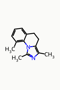 Cc1cccc2c1-n1c(C)nc(C)c1CC2